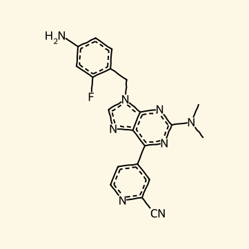 CN(C)c1nc(-c2ccnc(C#N)c2)c2ncn(Cc3ccc(N)cc3F)c2n1